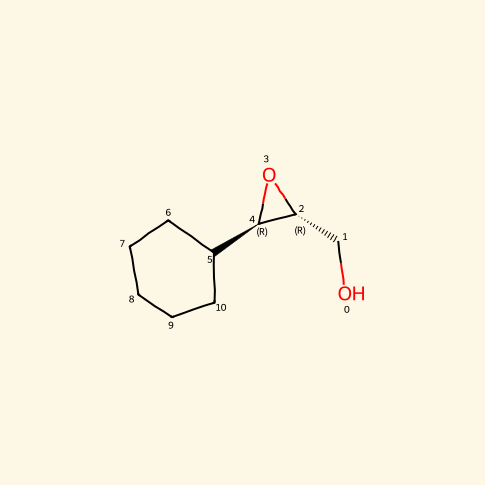 OC[C@H]1O[C@@H]1C1CCCCC1